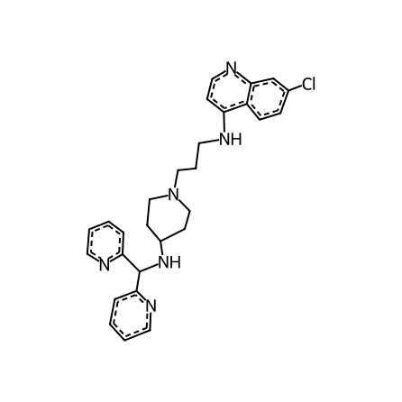 Clc1ccc2c(NCCCN3CCC(NC(c4ccccn4)c4ccccn4)CC3)ccnc2c1